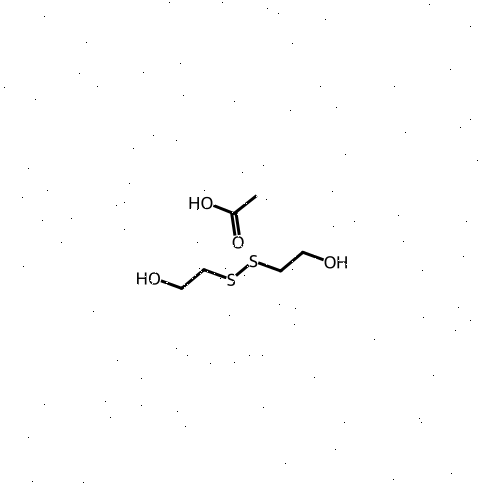 CC(=O)O.OCCSSCCO